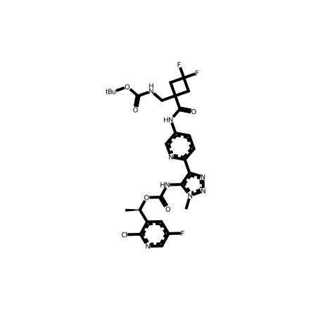 C[C@@H](OC(=O)Nc1c(-c2ccc(NC(=O)C3(CNC(=O)OC(C)(C)C)CC(F)(F)C3)cn2)nnn1C)c1cc(F)cnc1Cl